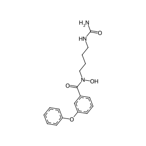 NC(=O)NCCCCN(O)C(=O)c1cccc(Oc2ccccc2)c1